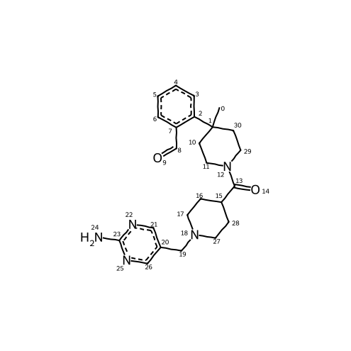 CC1(c2ccccc2C=O)CCN(C(=O)C2CCN(Cc3cnc(N)nc3)CC2)CC1